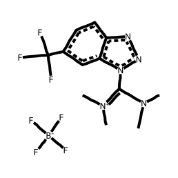 CN(C)C(n1nnc2ccc(C(F)(F)F)cc21)=[N+](C)C.F[B-](F)(F)F